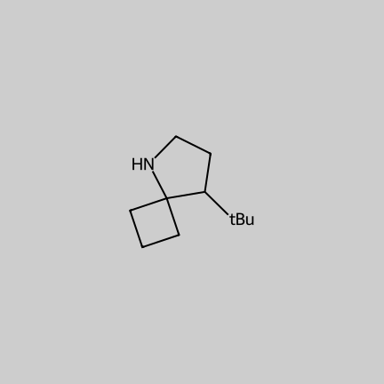 CC(C)(C)C1CCNC12CCC2